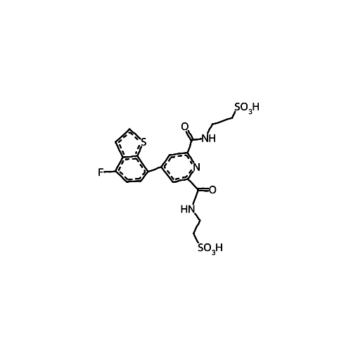 O=C(NCCS(=O)(=O)O)c1cc(-c2ccc(F)c3ccsc23)cc(C(=O)NCCS(=O)(=O)O)n1